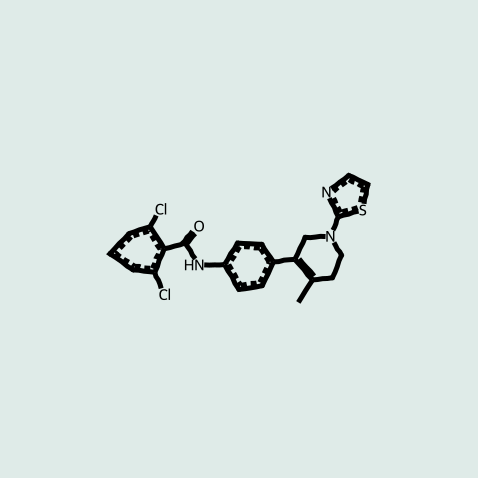 CC1=C(c2ccc(NC(=O)c3c(Cl)cccc3Cl)cc2)CN(c2nccs2)CC1